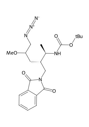 COC(CN=[N+]=[N-])C[C@@H](CN1C(=O)c2ccccc2C1=O)[C@@H](C)NC(=O)OC(C)(C)C